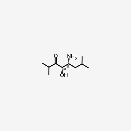 CC(C)C[C@H](N)[C@@H](O)C(=O)C(C)C